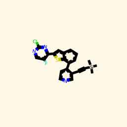 C[Si](C)(C)C#Cc1cnccc1-c1cccc2cc(-c3nc(Cl)ncc3F)sc12